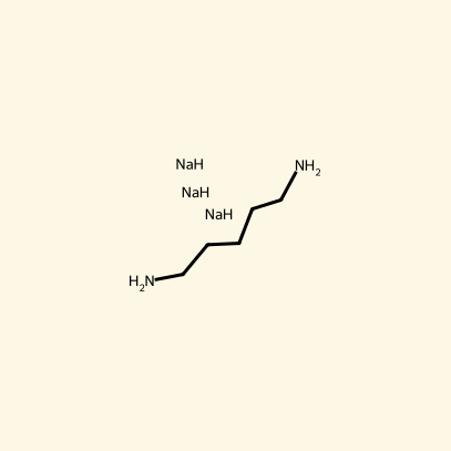 NCCCCCN.[NaH].[NaH].[NaH]